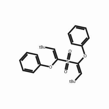 CC(C)(C)C=C(Oc1ccccc1)S(=O)(=O)C(=CC(C)(C)C)Oc1ccccc1